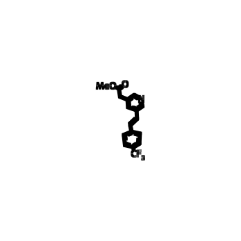 COC(=O)Cc1cncc(C=Cc2ccc(C(F)(F)F)cc2)c1